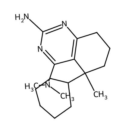 CN(C)c1nc(N)nc2c1C(C)(C1CCCCC1)CCC2